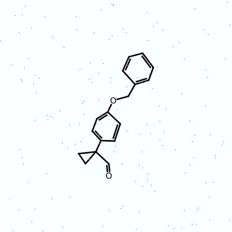 O=CC1(c2ccc(OCc3ccccc3)cc2)CC1